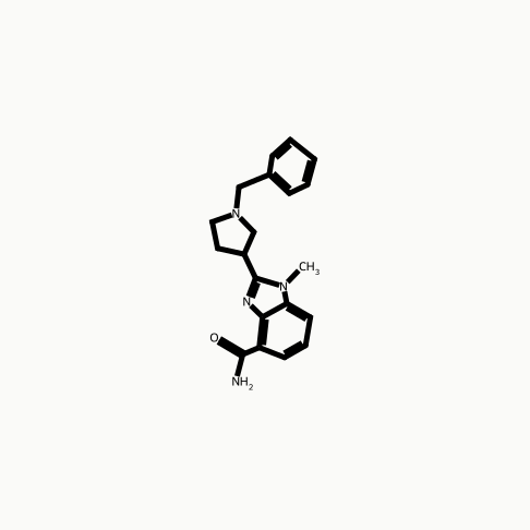 Cn1c(C2CCN(Cc3ccccc3)C2)nc2c(C(N)=O)cccc21